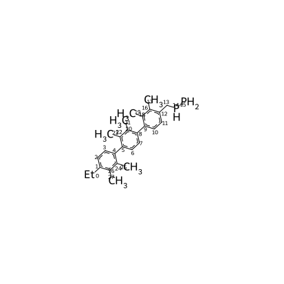 CCc1ccc(-c2ccc(-c3ccc(CPP)c(C)c3C)c(C)c2C)c(C)c1C